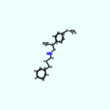 CCc1ccc(C(C)CNCCCc2ccccc2)cc1